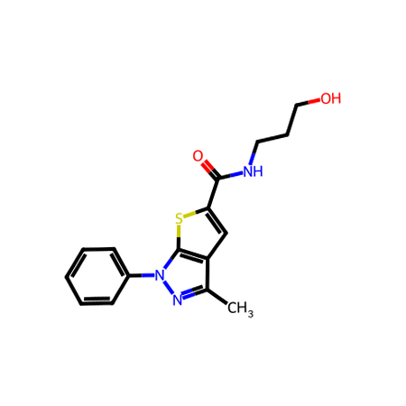 Cc1nn(-c2ccccc2)c2sc(C(=O)NCCCO)cc12